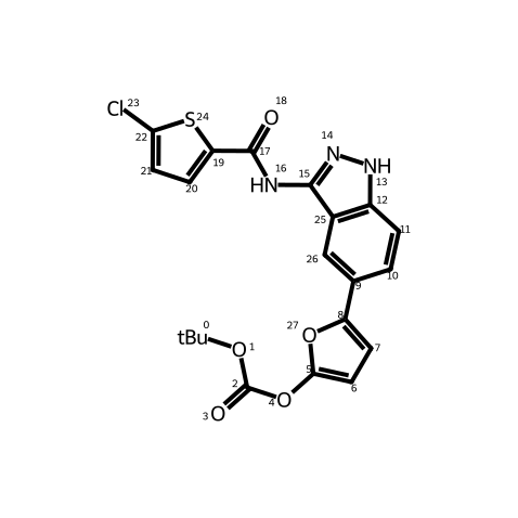 CC(C)(C)OC(=O)Oc1ccc(-c2ccc3[nH]nc(NC(=O)c4ccc(Cl)s4)c3c2)o1